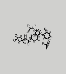 C[C@@H](C(F)F)n1nc(-c2cc(OC(F)F)ccc2F)c2c1CC(C(=O)NC1(C)CS(=O)(=O)C1)CC2